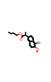 CCCCOC(=O)C(C)c1ccc2c(Br)c(OC)ccc2c1